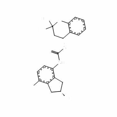 CC1(C)C[C@@H](NC(=O)Nc2ccc(F)c3c2C[C@@H](O)C3)c2ccccc2O1